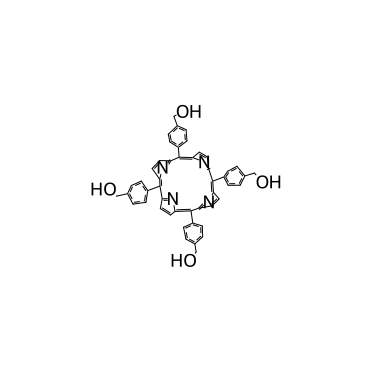 OCc1ccc(C2=C3C=CC(=N3)C(c3ccc(CO)cc3)=C3C=CC(=N3)C(c3ccc(CO)cc3)=C3C=CC(=N3)C(c3ccc(CO)cc3)=C3C=CC2=N3)cc1